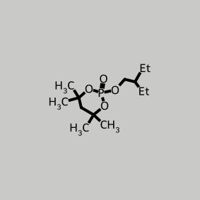 CCC(CC)COP1(=O)OC(C)(C)CC(C)(C)O1